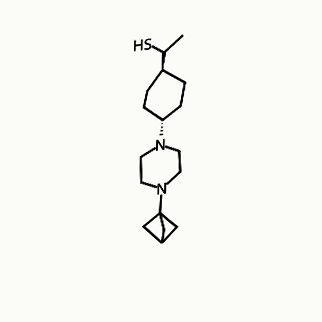 CC(S)[C@H]1CC[C@H](N2CCN(C34CC(C3)C4)CC2)CC1